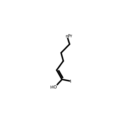 CCCCCCC=C(O)I